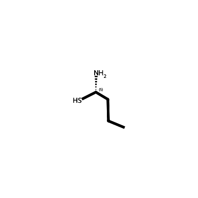 CCC[C@@H](N)S